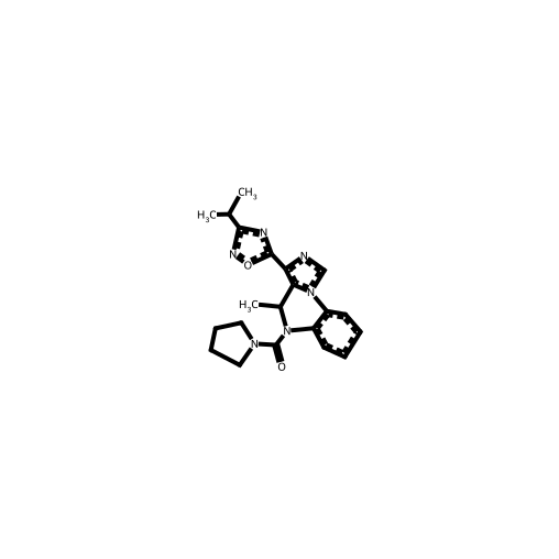 CC(C)c1noc(-c2ncn3c2C(C)N(C(=O)N2CCCC2)c2ccccc2-3)n1